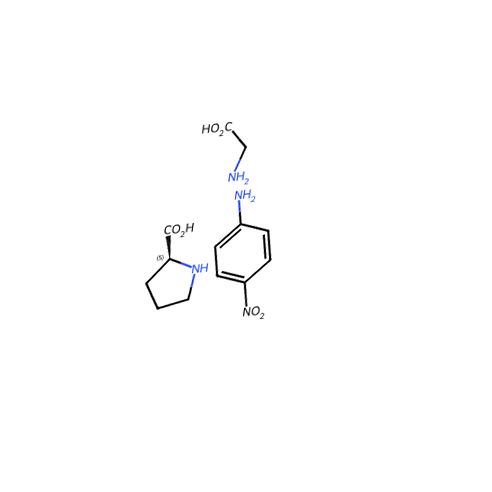 NCC(=O)O.Nc1ccc([N+](=O)[O-])cc1.O=C(O)[C@@H]1CCCN1